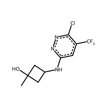 CC1(O)CC(Nc2cc(C(F)(F)F)c(Cl)nn2)C1